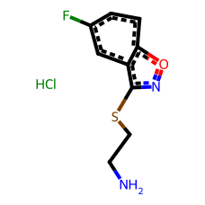 Cl.NCCSc1noc2ccc(F)cc12